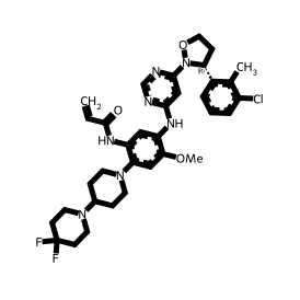 C=CC(=O)Nc1cc(Nc2cc(N3OCC[C@@H]3c3cccc(Cl)c3C)ncn2)c(OC)cc1N1CCC(N2CCC(F)(F)CC2)CC1